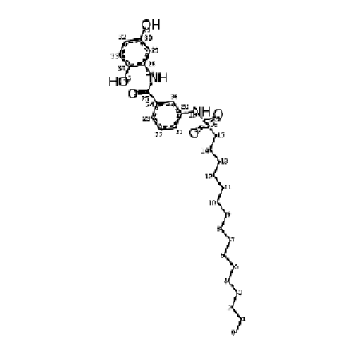 CCCCCCCCCCCCCCCCS(=O)(=O)Nc1cccc(C(=O)Nc2cc(O)ccc2O)c1